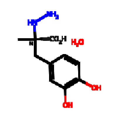 C[C@@](Cc1ccc(O)c(O)c1)(NN)C(=O)O.O